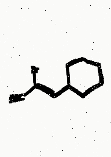 N#CC(Br)=CC1CCCCC1